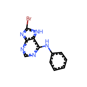 Brc1nc2ncnc(Nc3ccccc3)c2[nH]1